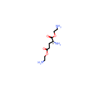 NCCOC(=O)CC[C@H](N)C(=O)OCCN